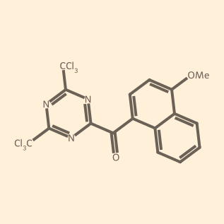 COc1ccc(C(=O)c2nc(C(Cl)(Cl)Cl)nc(C(Cl)(Cl)Cl)n2)c2ccccc12